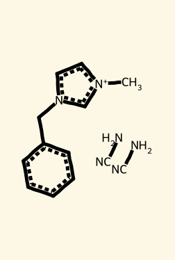 C[n+]1ccn(Cc2ccccc2)c1.N#CN.N#CN